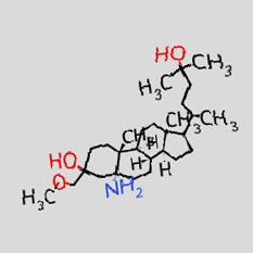 COC[C@]1(O)CC[C@]2(C)[C@H]3CC[C@]4(C)[C@@H]([C@H](C)CCC(C)(C)O)CC[C@H]4[C@@H]3CC[C@@]2(N)C1